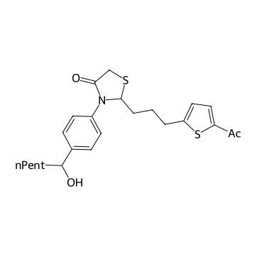 CCCCCC(O)c1ccc(N2C(=O)CSC2CCCc2ccc(C(C)=O)s2)cc1